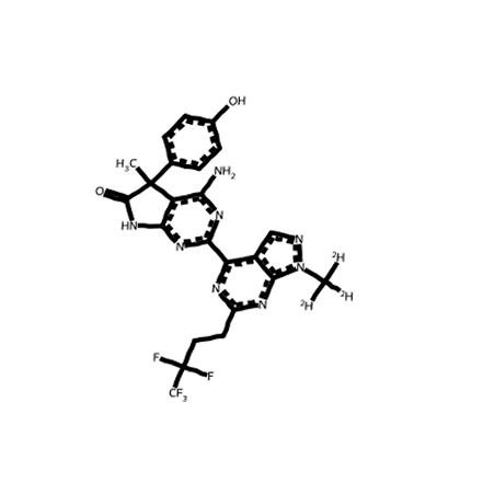 [2H]C([2H])([2H])n1ncc2c(-c3nc(N)c4c(n3)NC(=O)C4(C)c3ccc(O)cc3)nc(CCC(F)(F)C(F)(F)F)nc21